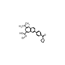 CCOC(O)C1=Cc2cc(-c3ccc(C(=O)N4CCCC4)cc3)ccc2N=C(N(C)C)C1